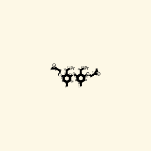 Cc1cc(OCC2CO2)c(CC(C)C)c(Sc2cc(C)cc(OCC3CO3)c2CC(C)C)c1